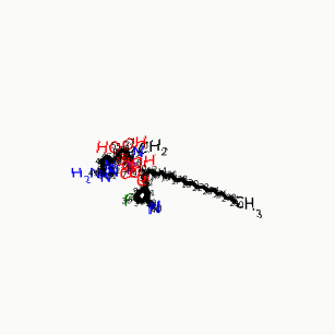 C=NC[C@]1(COP(=O)(O)OC[C@@H](CCCCCCCCCCCCCCCCCCC)OCc2cc(F)cc(C#N)c2)O[C@@H](c2ccc3c(N)ncnn23)[C@H](O)[C@@H]1O